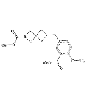 COC(=O)c1cc(CC2CC3(C2)CN(C(=O)OC(C)(C)C)C3)ccc1OC(F)(F)F